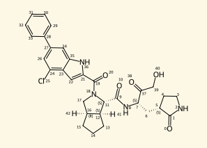 O=C1NCC[C@H]1C[C@H](NC(=O)[C@@H]1[C@H]2CCC[C@H]2CN1C(=O)c1cc2c(Cl)cc(-c3ccccc3)cc2[nH]1)C(=O)CO